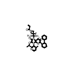 BC(B)(n1c(=O)c(=O)n(-c2c(C)ccnc2C(C)C)c2nc(-c3ccccc3-c3ccccc3)c(Cl)cc21)C1(F)CN(C(=O)C=C)C1